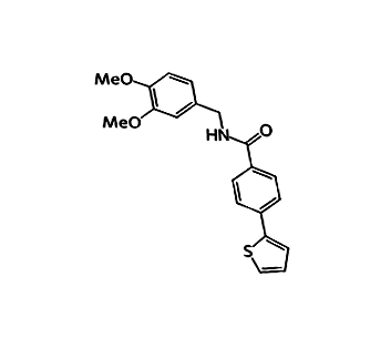 COc1ccc(CNC(=O)c2ccc(-c3cccs3)cc2)cc1OC